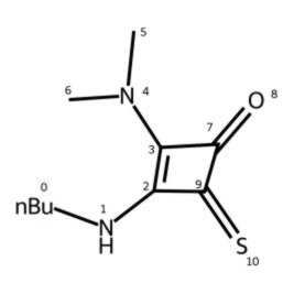 CCCCNc1c(N(C)C)c(=O)c1=S